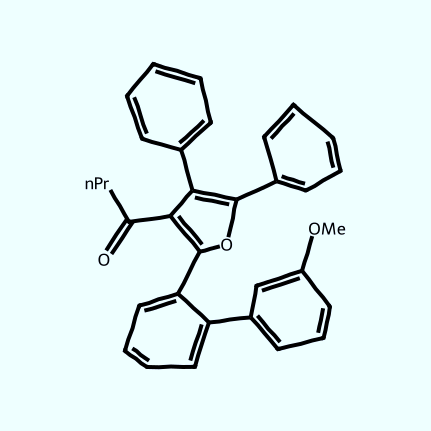 CCCC(=O)c1c(-c2ccccc2-c2cccc(OC)c2)oc(-c2ccccc2)c1-c1ccccc1